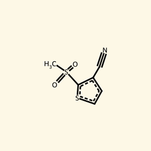 CS(=O)(=O)c1sccc1C#N